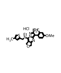 CCN(Cc1cc(C)cs1)c1c2c(nc3c(-c4ccc(OC)cc4C)c(C)nn13)COC2.Cl